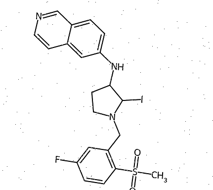 CS(=O)(=O)c1ccc(F)cc1CN1CCC(Nc2ccc3cnccc3c2)C1I